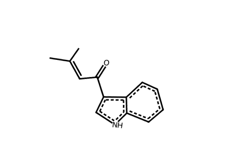 CC(C)=CC(=O)c1c[nH]c2ccccc12